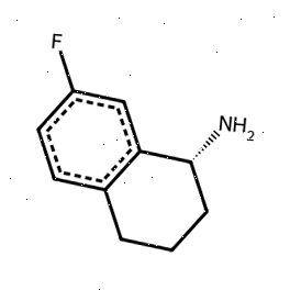 N[C@@H]1CCCc2ccc(F)cc21